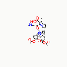 CC(=O)Oc1ccc2c3c1O[C@H]1[C@@H](OC(C)=O)C=C[C@H]4[C@@H](C2)N(C)CC[C@@]341.CCc1c(C(=O)O)c(C(=O)/C=C/N(C)C)n2ccccc12